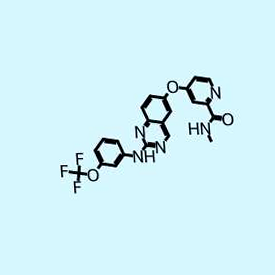 CNC(=O)c1cc(Oc2ccc3nc(Nc4cccc(OC(F)(F)F)c4)ncc3c2)ccn1